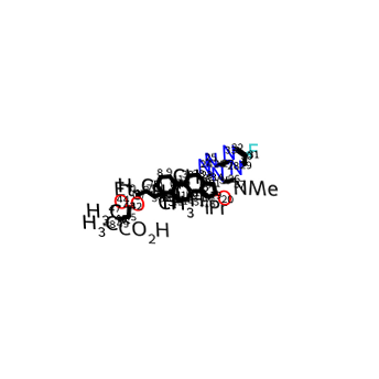 CC[C@H](CC[C@@]1(C)[C@H](C)CC[C@]2(C)[C@@H]1CC[C@@H]1C3=C(C(C)C)C(=O)C[C@]3(c3nnc(-c4ncc(F)cn4)n3CCNC)CC[C@]12C)OC(=O)CC(C)(C)C(=O)O